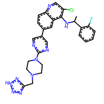 CC(Nc1c(Cl)cnc2ccc(-c3cnc(N4CCN(Cc5nn[nH]n5)CC4)nc3)cc12)c1ccccc1F